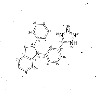 c1ccc(C2Cc3ccccc3N2c2cccc(-c3nnn[nH]3)c2)cc1